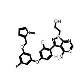 Cn1cccc1COc1cc(F)cc(Oc2ccc(-c3nn(CCO)c4ncnc(N)c34)c(F)c2)c1